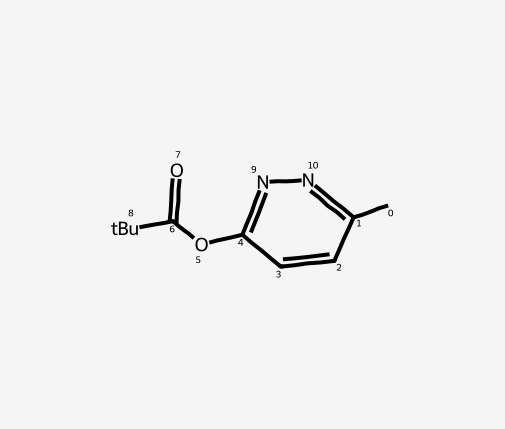 Cc1ccc(OC(=O)C(C)(C)C)nn1